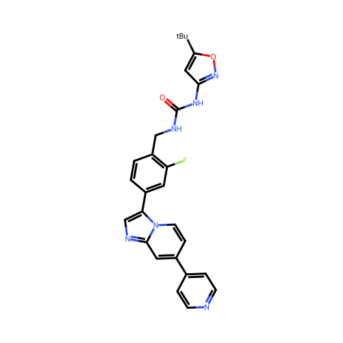 CC(C)(C)c1cc(NC(=O)NCc2ccc(-c3cnc4cc(-c5ccncc5)ccn34)cc2F)no1